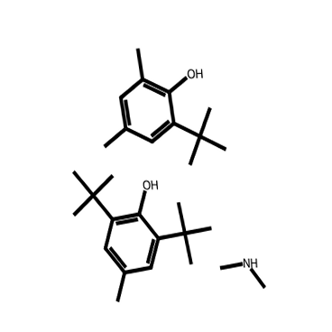 CNC.Cc1cc(C(C)(C)C)c(O)c(C(C)(C)C)c1.Cc1cc(C)c(O)c(C(C)(C)C)c1